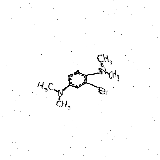 CN(C)c1ccc(N(C)C)c(Br)c1